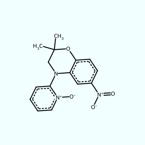 CC1(C)CN(c2cccc[n+]2[O-])c2cc([N+](=O)[O-])ccc2O1